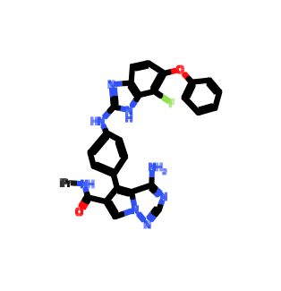 CC(C)NC(=O)c1cn2ncnc(N)c2c1-c1ccc(Nc2nc3ccc(Oc4ccccc4)c(F)c3[nH]2)cc1